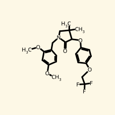 COc1ccc(CN2CC(C)(C)C(Oc3ccc(OCC(F)(F)F)cc3)C2=O)c(OC)c1